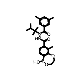 Cc1cc(C)cc(C(=O)N(NC(=O)c2ccc3c(c2C)OCCOB3O)C(C)(C)C(C)C)c1